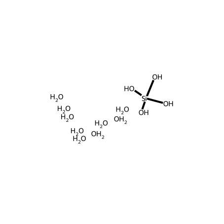 O.O.O.O.O.O.O.O.O.O[Si](O)(O)O